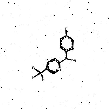 OC(c1ccc(F)cc1)c1ccc(C(F)(F)F)cn1